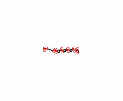 C=CC(=O)OCCCCCCOC(=O)Oc1ccc(C(=O)Oc2ccc(C(=O)Oc3ccc(C(=O)O[C@@H]4COC5C4OC[C@@H]5C)cc3)cc2)cc1